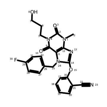 Cn1c(=O)n(CCCO)c(=O)c2c1nc(Oc1ccccc1C#N)n2Cc1ccc(F)cc1